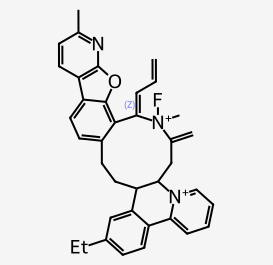 C=C/C=C1/c2c(ccc3c2oc2nc(C)ccc23)CCC2c3cc(CC)ccc3-c3cccc[n+]3C2CC(=C)[N+]1(C)F